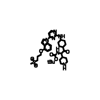 CC(C)(C)OC(=O)NC(C(=O)C1CCC(Nc2nccc(-n3ccc4c(OCCCS(C)(=O)=O)cccc43)n2)CC1)C1CCNCC1